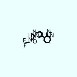 O=C(NCC(F)F)c1cnc2ccc(C3=CCCCc4ncncc43)cn12